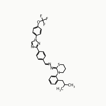 CC(C)Cc1ccccc1N1CCCS/C1=N\N=C\c1ccc(-c2ncn(-c3ccc(OC(F)(F)F)cc3)n2)cc1